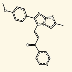 COc1ccc(-c2nc3sc(C)cn3c2C=CC(=O)c2ccncc2)cc1